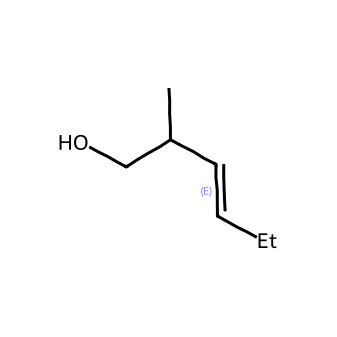 [CH2]C/C=C/C(C)CO